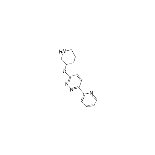 c1ccc(-c2ccc(OC3CCCNC3)nn2)nc1